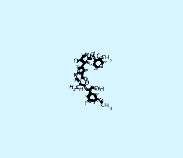 COc1cc(F)cc(C(CO)NC(=O)C(C)n2cnn3cc(-c4nc(N[C@@H]5CCOCC5(C)C)ncc4Cl)cc3c2=O)c1